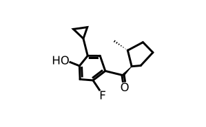 C[C@@H]1CCC[C@H]1C(=O)c1cc(C2CC2)c(O)cc1F